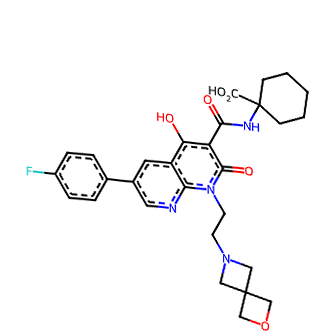 O=C(NC1(C(=O)O)CCCCC1)c1c(O)c2cc(-c3ccc(F)cc3)cnc2n(CCN2CC3(COC3)C2)c1=O